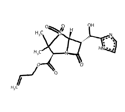 C=CCOC(=O)[C@@H]1N2C(=O)[C@@H](C(O)c3ncc[nH]3)[C@H]2S(=O)(=O)C1(C)C